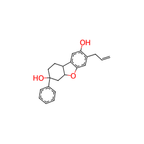 C=CCc1cc2c(cc1O)C1CCC(O)(c3ccccc3)CC1O2